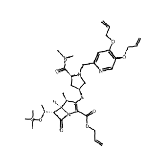 C=CCOC(=O)C1=C(S[C@H]2C[C@@H](C(=O)N(C)C)N(Cc3cc(OCC=C)c(OCC=C)cn3)C2)[C@H](C)[C@@H]2[C@@H](C(C)O[Si](C)(C)C)C(=O)N12